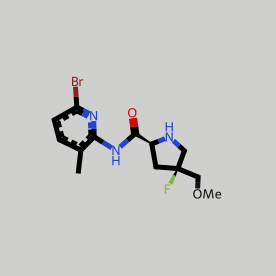 COC[C@@]1(F)CN[C@H](C(=O)Nc2nc(Br)ccc2C)C1